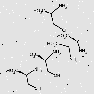 NCC(=O)O.NCC(=O)O.N[C@@H](CO)C(=O)O.N[C@@H](CO)C(=O)O.N[C@@H](CS)C(=O)O